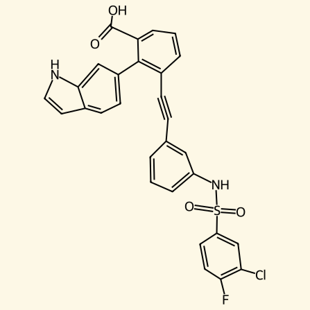 O=C(O)c1cccc(C#Cc2cccc(NS(=O)(=O)c3ccc(F)c(Cl)c3)c2)c1-c1ccc2cc[nH]c2c1